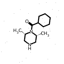 C[C@@H]1CNC[C@H](C)N1C(=O)C1CCCCC1